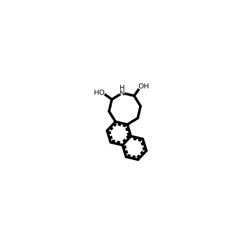 OC1CCc2c(ccc3ccccc23)CC(O)N1